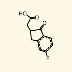 O=C(O)CC1Cc2cc(F)ccc2C1=O